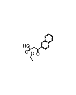 CCOP(=O)(O)CC(=O)c1ccc2ccccc2c1